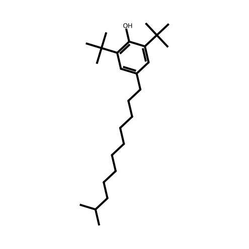 CC(C)CCCCCCCCCc1cc(C(C)(C)C)c(O)c(C(C)(C)C)c1